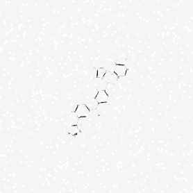 CC(=O)c1ccc(OCc2ccc(C(O)c3cccc(-c4nn[nH]n4)c3)cc2)c(-c2cccs2)c1O